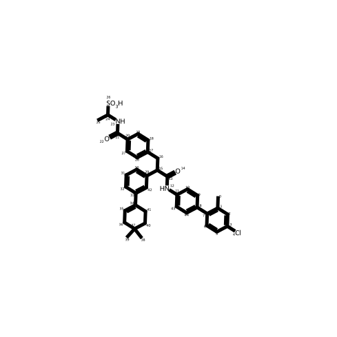 Cc1cc(Cl)ccc1-c1ccc(NC(=O)C(Cc2ccc(C(=O)NC(C)S(=O)(=O)O)cc2)c2cccc(C3=CCC(C)(C)CC3)c2)cc1